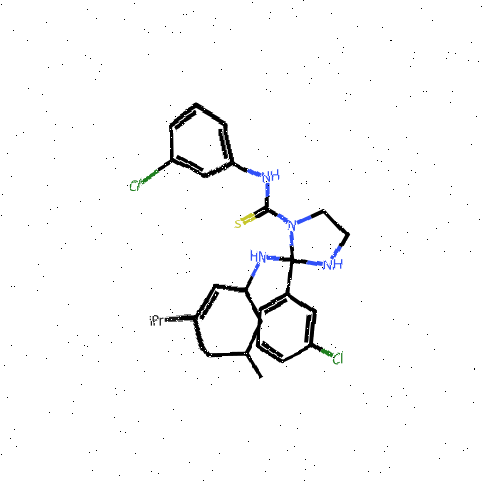 CC1CC(C(C)C)=CC(NC2(c3cccc(Cl)c3)NCCN2C(=S)Nc2cccc(Cl)c2)C1